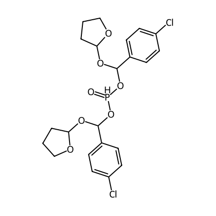 O=[PH](OC(OC1CCCO1)c1ccc(Cl)cc1)OC(OC1CCCO1)c1ccc(Cl)cc1